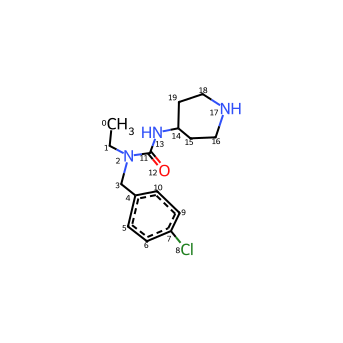 CCN(Cc1ccc(Cl)cc1)C(=O)NC1CCNCC1